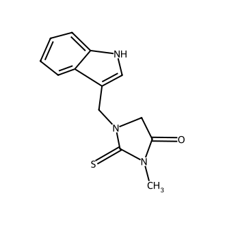 CN1C(=O)CN(Cc2c[nH]c3ccccc23)C1=S